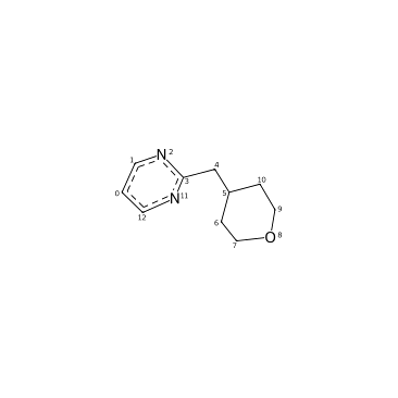 c1cnc(CC2CCOCC2)nc1